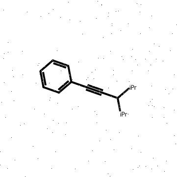 C[C](C)C(C#Cc1ccccc1)C(C)C